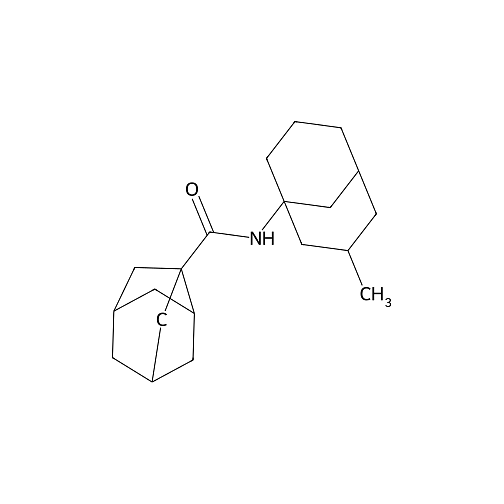 CC1CC2CCCC(NC(=O)C34CC5CC(CC3C5)C4)(C1)C2